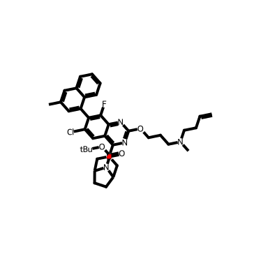 C=CCCN(C)CCCOc1nc(N2CC3CCC(C2)N3C(=O)OC(C)(C)C)c2cc(Cl)c(-c3cc(C)cc4ccccc34)c(F)c2n1